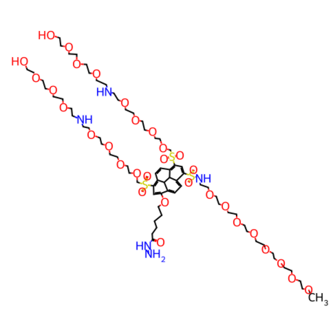 COCCOCCOCCOCCOCCOCCOCCOCCNS(=O)(=O)C1=CC(S(=O)(=O)COCCOCCOCCOCCNCCOCCOCCOCCO)=C2C=CC3=C(S(=O)(=O)COCCOCCOCCOCCNCCOCCOCCOCCO)C=C(OCCCCCC(=O)NN)C4=CC=C1C2C43